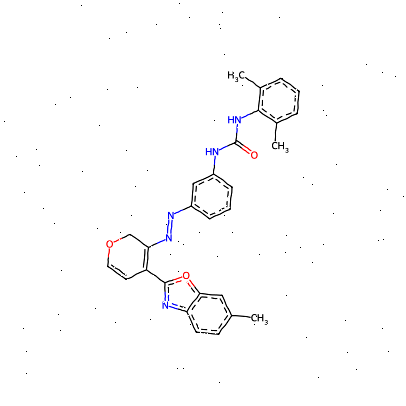 Cc1ccc2nc(C3=C(N=Nc4cccc(NC(=O)Nc5c(C)cccc5C)c4)COC=C3)oc2c1